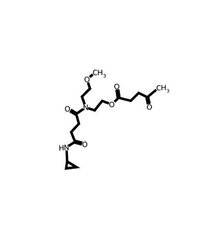 COCCN(CCOC(=O)CCC(C)=O)C(=O)CCC(=O)NC1CC1